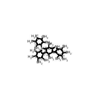 Bc1c(B)c(B)c(-n2c3c(B)c(B)c(B)c(B)c3c3c(B)c4c([nH]c5c(B)c(B)c(B)c(B)c54)c(B)c32)c(B)c1B